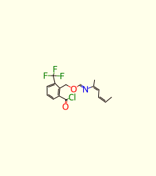 C\C=C/C=C(C)\N=C\OCc1c(C(=O)Cl)cccc1C(F)(F)F